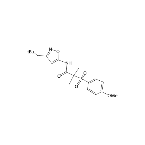 COc1ccc(S(=O)(=O)C(C)(C)C(=O)Nc2cc(CC(C)(C)C)no2)cc1